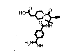 C#CC(C(=O)N1CCC(CC(=O)O)CC1)C(C)(C)NC(=O)c1ccc(C(=N)N)cc1